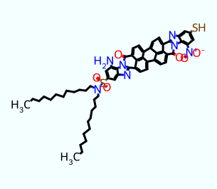 CCCCCCCCCCCCN(CCCCCCCCCCCC)S(=O)(=O)c1cc(N)c2c(c1)nc1c3ccc4c5ccc6c(=O)n7c(nc8cc(S)cc([N+](=O)[O-])c87)c7ccc(c8ccc(c(=O)n12)c3c48)c5c67